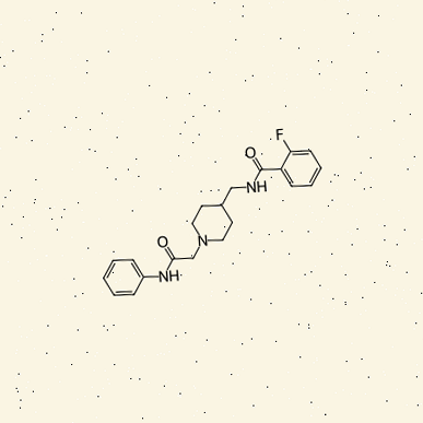 O=C(CN1CCC(CNC(=O)c2ccccc2F)CC1)Nc1ccccc1